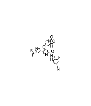 N#Cc1ccc(CNC(=O)c2cc(O[C@H]3CCN4C(=O)OC[C@@H]4C3)c(-c3cnn(C(F)F)c3)cn2)c(F)c1